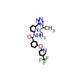 CC(C)n1cnnc1-c1cccc(NC(=O)c2cccc(Oc3ccc(C(F)(F)F)cn3)c2)n1